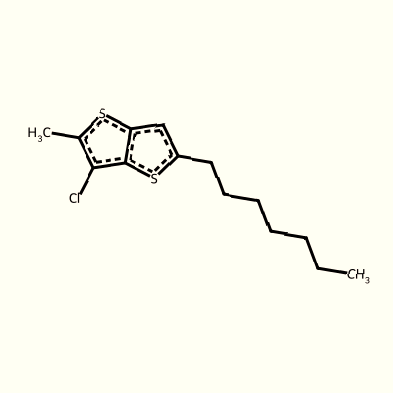 CCCCCCCc1cc2sc(C)c(Cl)c2s1